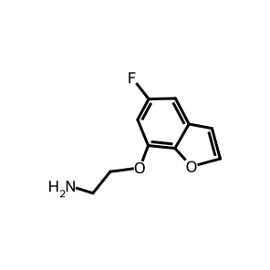 NCCOc1cc(F)cc2ccoc12